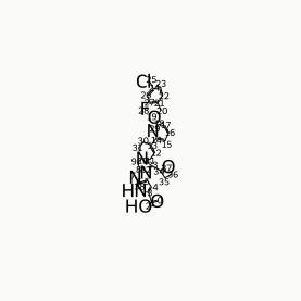 O=C(O)c1cc2c(nc(CN3CC=C(c4cccc(OCc5ccc(Cl)cc5F)n4)CC3)n2CC2CCO2)[nH]1